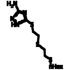 CCCCCCSCCSCCSc1nc(N)n[nH]1